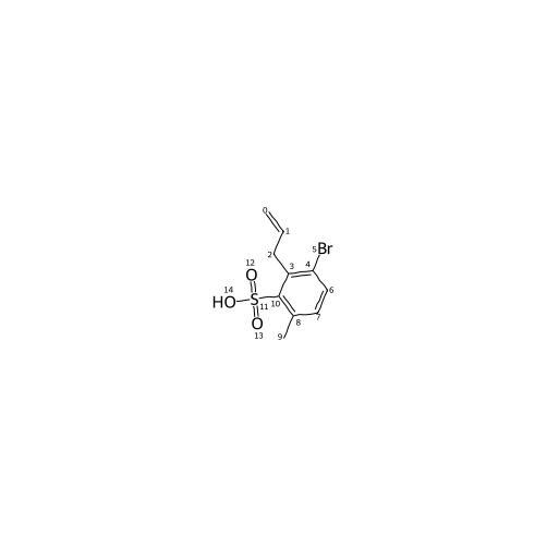 C=CCc1c(Br)ccc(C)c1S(=O)(=O)O